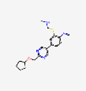 C=Nc1ccc(-c2cnc(COC3CCCC3)nc2)cc1SCNC